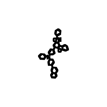 c1ccc(-c2nc3c(cc(-c4ccc(N(c5ccccc5)c5ccc(-c6ccc7ccccc7c6)cc5)cc4)c4oc5ccccc5c43)o2)cc1